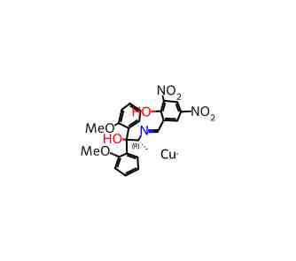 COc1ccccc1C(O)(c1ccccc1OC)[C@@H](C)N=Cc1cc([N+](=O)[O-])cc([N+](=O)[O-])c1O.[Cu]